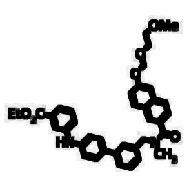 CCOC(=O)c1cccc(Nc2ccc(-c3cccc(CN(C)C(=O)c4ccc5cc(OCOCCOC)ccc5c4)c3)cc2)c1